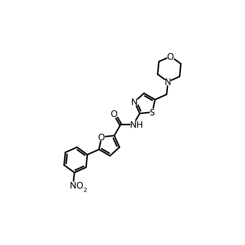 O=C(Nc1ncc(CN2CCOCC2)s1)c1ccc(-c2cccc([N+](=O)[O-])c2)o1